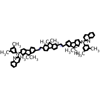 Cc1cc(C)cc(N(c2ccc3c(c2)C(C)(C)c2cc(/C=C/c4ccc5c(c4)C(C)(C)c4cc(/C=C/c6ccc7c(c6)C(C)(C)c6cc(N(c8cc(C)cc(C)c8)c8ccc9ccccc9n8)ccc6-7)ccc4-5)ccc2-3)c2ccc3ccccc3n2)c1